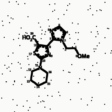 COCCn1ccnc1-c1nc(N2CCCCC2)sc1C(=O)O